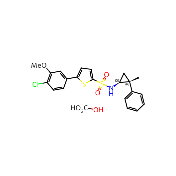 COc1cc(-c2ccc(S(=O)(=O)N[C@H]3C[C@]3(C)c3ccccc3)s2)ccc1Cl.O=C(O)O